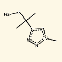 Cn1cc(C(C)(C)SS)nn1